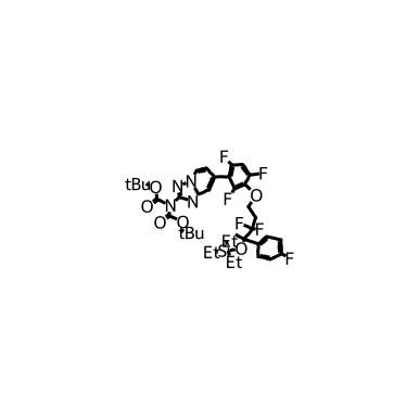 CC[Si](CC)(CC)OC(C)(c1ccc(F)cc1)C(F)(F)CCOc1c(F)cc(F)c(-c2ccn3nc(N(C(=O)OC(C)(C)C)C(=O)OC(C)(C)C)nc3c2)c1F